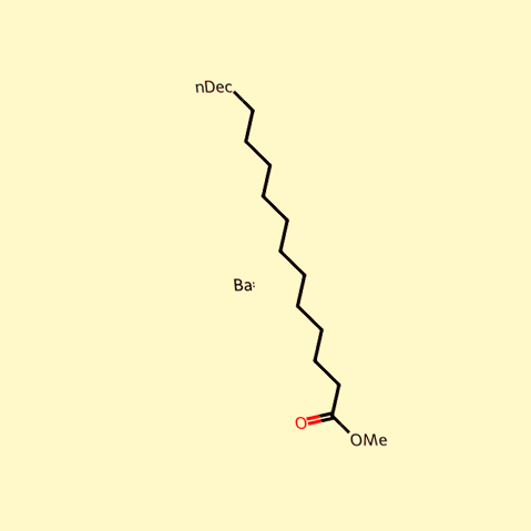 CCCCCCCCCCCCCCCCCCCCCC(=O)OC.[Ba]